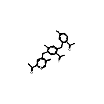 CC(=O)c1cc(Cc2cc(C(C)=O)c(Cc3cc(C)ccc3C(C)=O)cc2C)c(C)cn1